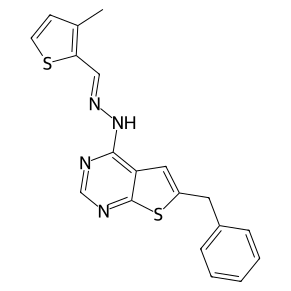 Cc1ccsc1C=NNc1ncnc2sc(Cc3ccccc3)cc12